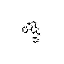 c1coc(Nc2nc(-c3ccco3)c3[nH]cnc3n2)c1